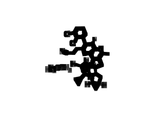 Cc1nc2c(F)c(-c3cccc(Cl)c3Cl)c(CCC#N)cc2c2c1cc([C@H]1C[C@H]3C[C@H]3N1C(=O)C1CC1)n2[C@H]1[C@H]2CN[C@@H]1C2.Cl.O.O